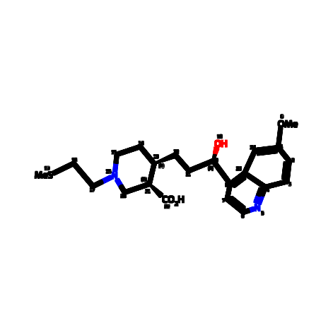 COc1ccc2nccc([C@H](O)CC[C@@H]3CCN(CCSC)C[C@@H]3C(=O)O)c2c1